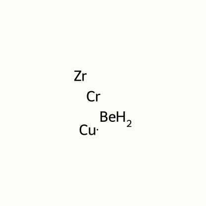 [BeH2].[Cr].[Cu].[Zr]